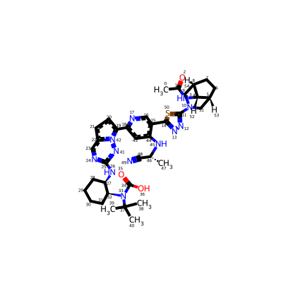 CC(=O)N[C@H]1[C@@H]2CC[C@H]1CN(c1nnc(-c3cnc(-c4ccc5cnc(N[C@@H]6CCCC[C@@H]6N(C(=O)O)C(C)(C)C)nn45)cc3N[C@H](C)C#N)s1)C2